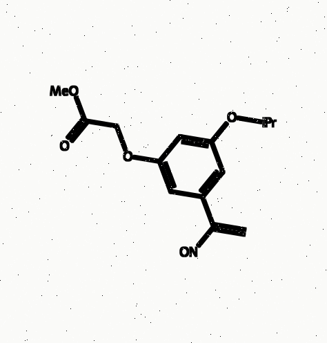 C=C(N=O)c1cc(OCC(=O)OC)cc(OC(C)C)c1